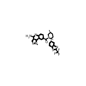 C[C@H]1CC[C@H](c2ccc3sc(C(F)(F)F)nc3c2)N(C(=O)c2ccc3nc(N)c4cnn(C)c4c3c2)C1